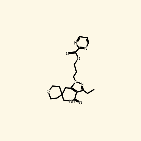 CCc1nn(CCCOC(=O)c2ncccn2)c2c1C(=O)NCC1(CCOCC1)C2